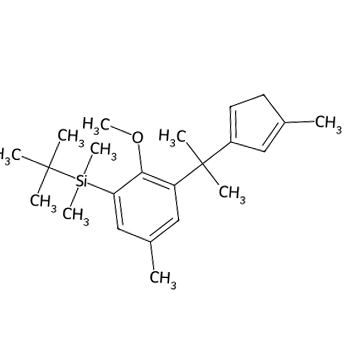 COc1c(C(C)(C)C2=CCC(C)=C2)cc(C)cc1[Si](C)(C)C(C)(C)C